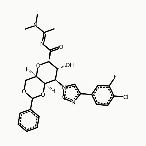 C/C(=N\C(=O)[C@@H]1O[C@@H]2COC(c3ccccc3)O[C@@H]2[C@H](n2cc(-c3ccc(Cl)c(F)c3)nn2)[C@H]1O)N(C)C